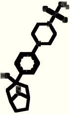 CS(=O)(=O)N1CCN(c2ccc(C3(O)CC4CCC(C3)N4)cc2)CC1